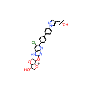 CC(C)(O)Cc1cnn(-c2ccc(-c3ccc(-c4nc5nc(O[C@@H]6COC7[C@H](O)CO[C@@H]76)[nH]c5cc4Cl)cc3)cc2)c1